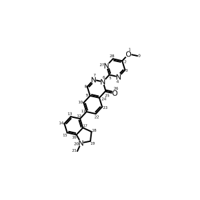 COc1cnc(-n2ncc3cc(-c4cccc5c4CCN5C)ccc3c2=O)nc1